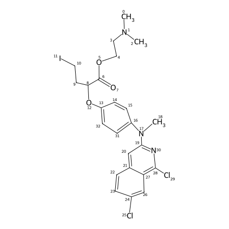 CN(C)CCOC(=O)C(CCI)Oc1ccc(N(C)c2cc3ccc(Cl)cc3c(Cl)n2)cc1